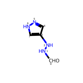 O=CNNc1cn[nH]c1